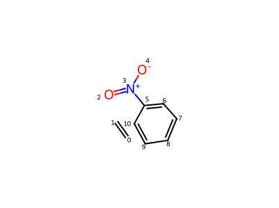 C=C.O=[N+]([O-])c1ccccc1